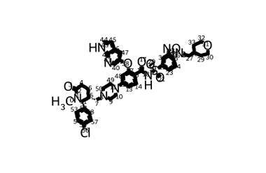 CN1C(=O)CC[C@H](CN2CCN(c3ccc(C(=O)NS(=O)(=O)c4ccc(NCC5CCOCC5)c([N+](=O)[O-])c4)c(Oc4cnc5[nH]ccc5c4)c3)CC2)[C@H]1c1ccc(Cl)cc1